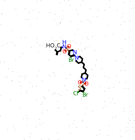 C=C(C)CC(NS(=O)(=O)c1cnc(N2CCC(CCCC3CCN(S(=O)(=O)c4cc(Br)c(Cl)s4)CC3)CC2)c(Br)c1)C(=O)O